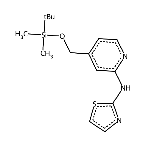 CC(C)(C)[Si](C)(C)OCc1ccnc(Nc2nccs2)c1